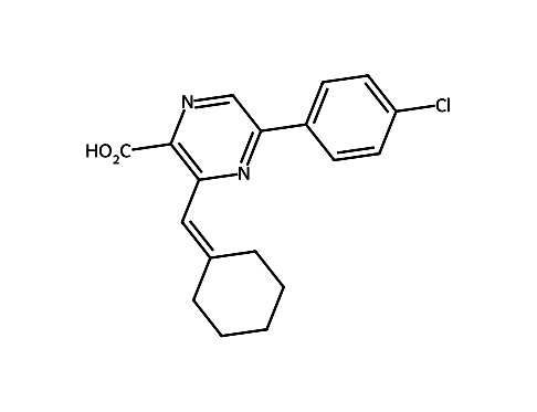 O=C(O)c1ncc(-c2ccc(Cl)cc2)nc1C=C1CCCCC1